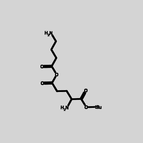 CC(C)(C)OC(=O)C(N)CCC(=O)OC(=O)CCCN